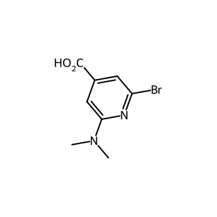 CN(C)c1cc(C(=O)O)cc(Br)n1